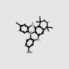 CCCCc1ccc2c(c1)Oc1cc3c(c4c1B2c1ccc(C)cc1O4)C(C)(C)CCC3(C)C